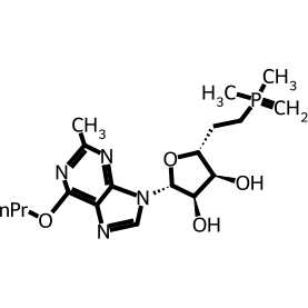 C=P(C)(C)CC[C@H]1O[C@@H](n2cnc3c(OCCC)nc(C)nc32)[C@H](O)[C@@H]1O